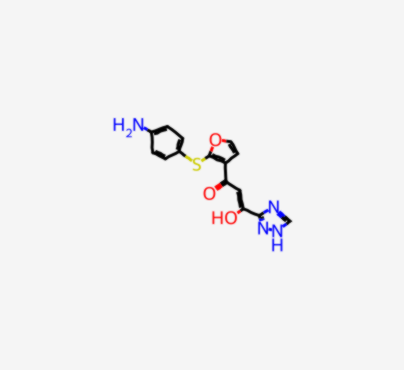 Nc1ccc(Sc2occc2C(=O)C=C(O)c2nc[nH]n2)cc1